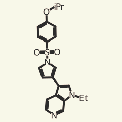 CCn1cc(-c2ccn(S(=O)(=O)c3ccc(OC(C)C)cc3)c2)c2ccncc21